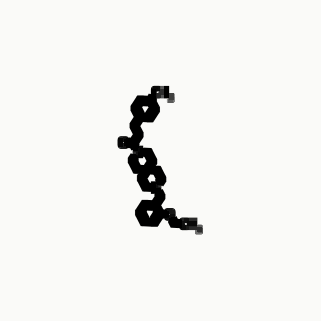 CCOc1ccccc1CN1CCC2(CC1)CCN(C(=O)CCc1ccc(C)cc1)CC2